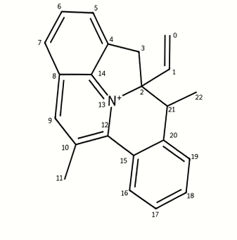 C=CC12Cc3cccc4cc(C)c([n+]1c34)-c1ccccc1C2C